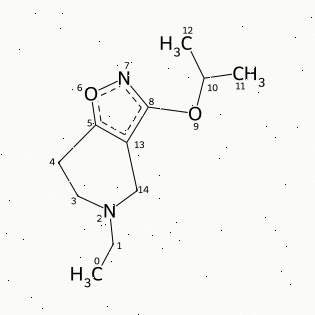 CCN1CCc2onc(OC(C)C)c2C1